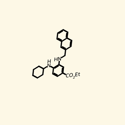 CCOC(=O)c1ccc(NC2CCCCC2)c(NCc2ccc3ccccc3c2)c1